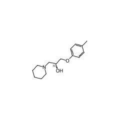 Cc1ccc(OC[C@@H](O)CN2CCCCC2)cc1